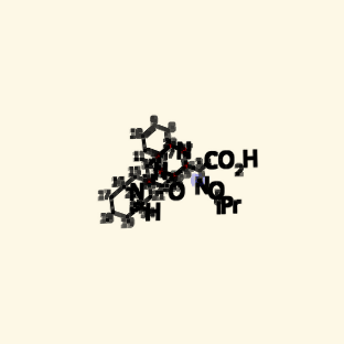 CC(C)O/N=C(\C(=O)O)c1nc2ccccc2n(C2CC3CCC[C@@H](C2)N3C2CC3CCCC(C3)C2)c1=O